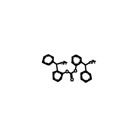 CCCC(c1ccccc1)c1ccccc1OC(=O)Oc1ccccc1C(CCC)c1ccccc1